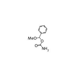 COC(OC(N)=O)c1ccccc1